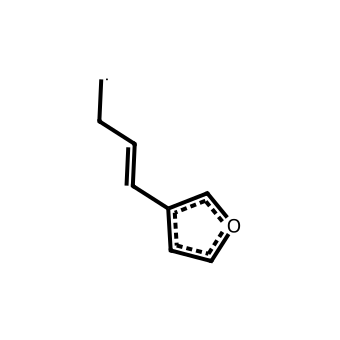 [CH2]CC=Cc1ccoc1